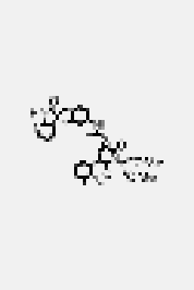 COCC(COC)n1c(=O)c(-c2cccc(F)c2Cl)cn(CC(=O)Nc2ccc3c(c2)C[C@@]2(C3)C(=O)Nc3ncccc32)c1=O